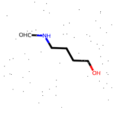 O=CNCCCCO